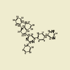 c1ccc(-c2nc(-c3ccc(-c4cncnc4)cc3)cc(-c3ccc4c5c(cccc35)-c3ccccc3-4)n2)cc1